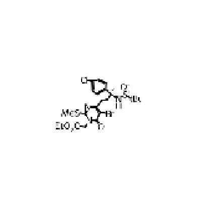 CCOC(=O)Cn1c(SC)nc(CC[C@](C)(N[S@@+]([O-])C(C)(C)C)c2ccc(Cl)cc2)c(Br)c1=O